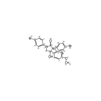 COc1ccc(C2(O)CN(c3ccc(Br)cc3)C(=O)N2c2ccc(Br)cc2)cn1